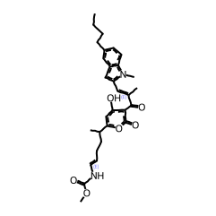 CCCCc1ccc2c(c1)cc(/C=C(\C)C(=O)c1c(O)cc(C(C)CC/C=C/NC(=O)OC)oc1=O)n2C